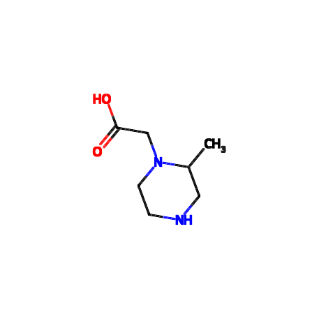 CC1CNCCN1CC(=O)O